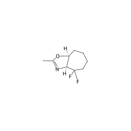 CC1=N[C@H]2[C@H](CCCCC2(F)F)O1